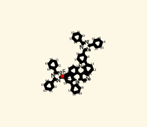 FC(F)(F)c1ccc(-n2c3ccccc3c3cc(-c4nc(-c5ccccc5)nc(-c5ccccc5)n4)ccc32)c(-c2ccncc2-n2c3ccccc3c3cc(-c4nc(-c5ccccc5)nc(-c5ccccc5)n4)ccc32)c1